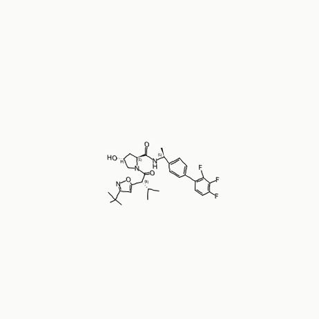 CC(C)[C@@H](C(=O)N1C[C@H](O)C[C@H]1C(=O)N[C@@H](C)c1ccc(-c2ccc(F)c(F)c2F)cc1)c1cc(C(C)(C)C)no1